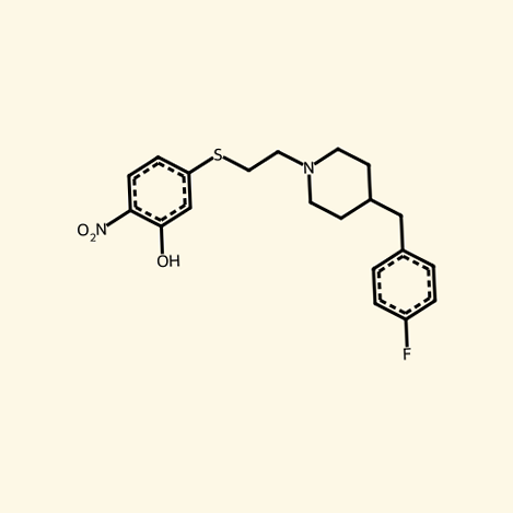 O=[N+]([O-])c1ccc(SCCN2CCC(Cc3ccc(F)cc3)CC2)cc1O